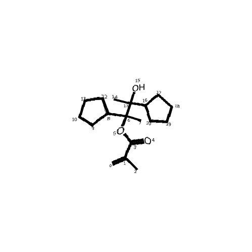 C=C(C)C(=O)OC(C)(C1CCCC1)C(C)(O)C1CCCC1